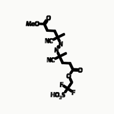 COC(=O)CCC(C)(C#N)N=NC(C)(C#N)CCC(=O)OCC(F)(F)S(=O)(=O)O